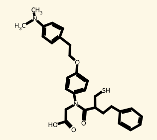 CN(C)c1ccc(CCOc2ccc(N(CC(=O)O)C(=O)C(CS)CCc3ccccc3)cc2)cc1